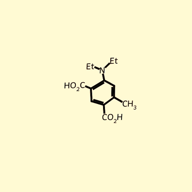 CCN(CC)c1cc(C)c(C(=O)O)cc1C(=O)O